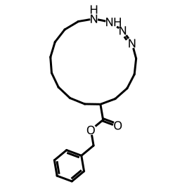 O=C(OCc1ccccc1)C1CCCCCCCCNNN=NCCCC1